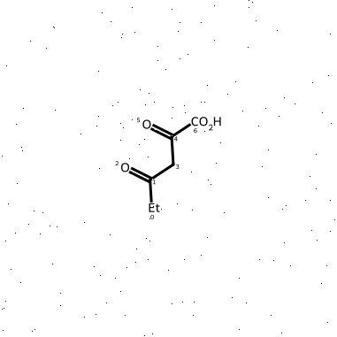 CCC(=O)CC(=O)C(=O)O